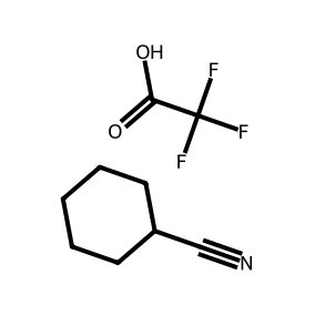 N#CC1CCCCC1.O=C(O)C(F)(F)F